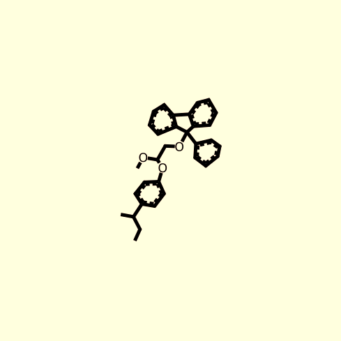 CCC(C)c1ccc(OC(COC2(c3ccccc3)c3ccccc3-c3ccccc32)OC)cc1